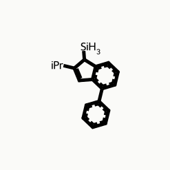 CC(C)C1=Cc2c(-c3ccccc3)cccc2C1[SiH3]